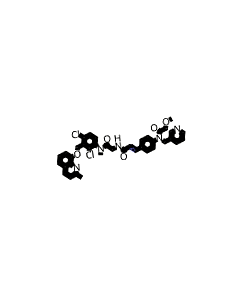 COCC(=O)N(Cc1cccnc1)c1ccc(/C=C/C(=O)NCC(=O)N(C)c2ccc(Cl)c(COc3cccc4ccc(C)nc34)c2Cl)cc1